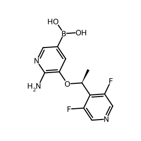 C[C@H](Oc1cc(B(O)O)cnc1N)c1c(F)cncc1F